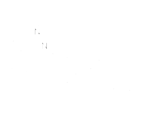 c1ccc(N(c2ccc(-c3c4ccccc4c(-c4ccc5ccccc5c4)c4ccccc34)cc2)c2cc3ccccc3c3ccccc23)nc1